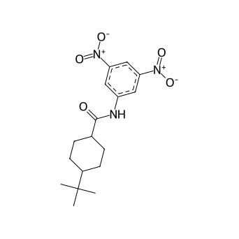 CC(C)(C)C1CCC(C(=O)Nc2cc([N+](=O)[O-])cc([N+](=O)[O-])c2)CC1